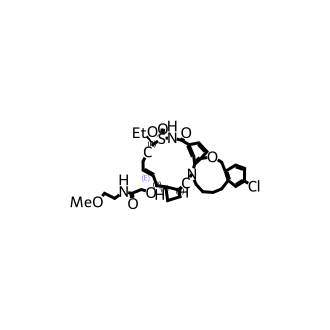 CC[C@@H]1CC/C=C/[C@H](OCC(=O)NCCOC)[C@@H]2CC[C@H]2CN2CCCCc3cc(Cl)ccc3COc3ccc(cc32)C(=O)NS1(=O)=O